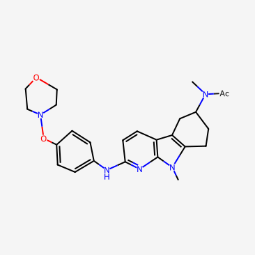 CC(=O)N(C)C1CCc2c(c3ccc(Nc4ccc(ON5CCOCC5)cc4)nc3n2C)C1